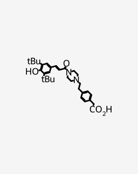 CC(C)(C)c1cc(/C=C/C(=O)N2CCN(CCc3ccc(CC(=O)O)cc3)CC2)cc(C(C)(C)C)c1O